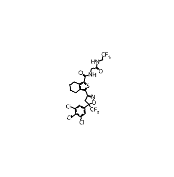 O=C(CNC(=O)c1sc(C2=NOC(c3cc(Cl)c(Cl)c(Cl)c3)(C(F)(F)F)C2)c2c1CCCC2)NCC(F)(F)F